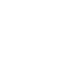 CCCCCCCC=CC(=O)OCCO